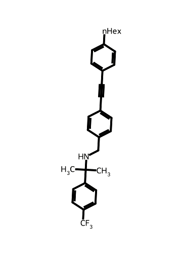 CCCCCCc1ccc(C#Cc2ccc(CNC(C)(C)c3ccc(C(F)(F)F)cc3)cc2)cc1